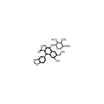 CC(=O)OC1COC(Oc2c3c(c(-c4ccc5c(c4)OCO5)c4cc(O)c(CO)cc24)C(=O)OC3)C(OC(C)=O)C1OC(C)=O